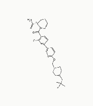 CC(C)(F)CN1CCC(COc2ccc(-c3ccc(C(=O)N4CCCC[C@H]4C(N)=O)c(F)c3)cn2)CC1